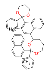 Cc1ccc2ccccc2c1C1(c2ccccc2)OCCCC(c2cc(C)c(C3(c4ccccc4)OCCCO3)c3ccccc23)O1